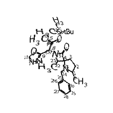 CC1CCC2(C(=O)N([C@H](c3nnco3)[C@@H](C)O[Si](C)(C)C(C)(C)C)C2C)N1Cc1ccccc1